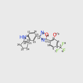 COc1cc(C(F)(F)F)ccc1-c1nc(-c2ccc3[nH]c4c(c3c2)CC[CH]4)no1